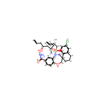 C=CC[C@H](O)[C@@H]1CC[C@H]1C[N@+]1(S(=O)(=O)C[C@@H](C)C=C)CC2(CCCc3cc(Cl)ccc32)COc2ccc(C(N)=O)cc21